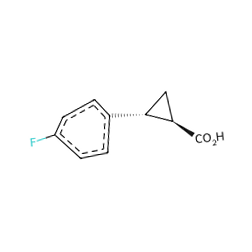 O=C(O)[C@@H]1C[C@H]1c1ccc(F)cc1